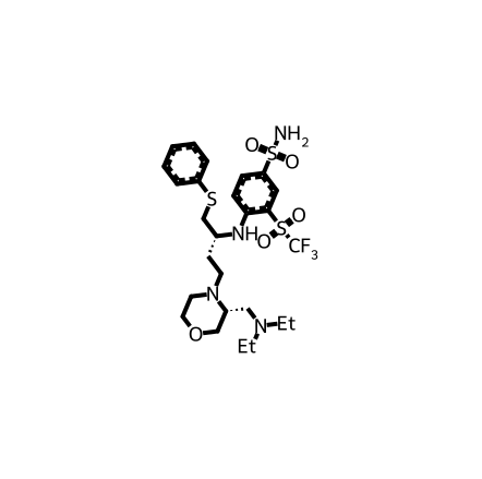 CCN(CC)C[C@@H]1COCCN1CC[C@H](CSc1ccccc1)Nc1ccc(S(N)(=O)=O)cc1S(=O)(=O)C(F)(F)F